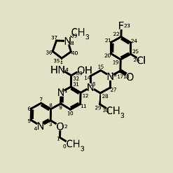 CCOc1ncccc1-c1ccc(N2CCN(C(=O)c3ccc(F)cc3Cl)C[C@H]2CC)c(C(O)N[C@@H]2CCN(C)C2)n1